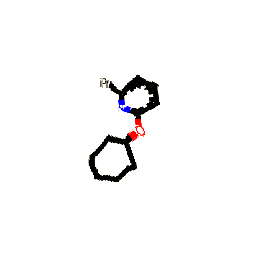 CC(C)c1cccc(OC2CCCCC2)n1